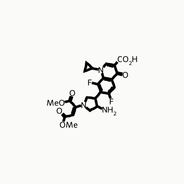 COC(=O)/C=C(\C(=O)OC)N1CC(N)C(c2c(F)cc3c(=O)c(C(=O)O)cn(C4CC4)c3c2F)C1